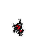 CN(C)C(=O)N1CCCC1c1cc2c(-n3cncn3)nc3c(F)c(Br)c(CCC#N)cc3c2n1[C@H]1[C@@H]2C[C@H]1N(C(=O)O)C2